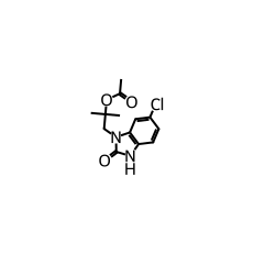 CC(=O)OC(C)(C)Cn1c(=O)[nH]c2ccc(Cl)cc21